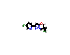 Fc1ccc(-c2cc3n(n2)CC2(CO3)CC2(F)F)nc1